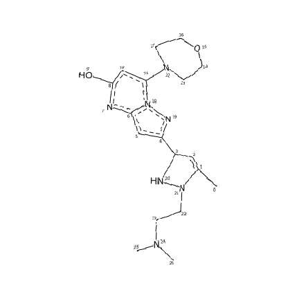 CC1=CC(c2cc3nc(O)cc(N4CCOCC4)n3n2)NN1CCN(C)C